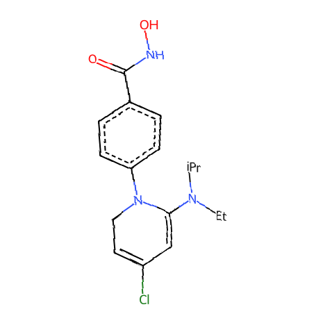 CCN(C1=CC(Cl)=CCN1c1ccc(C(=O)NO)cc1)C(C)C